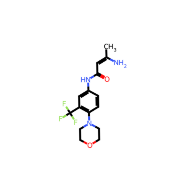 CC(N)=CC(=O)Nc1ccc(N2CCOCC2)c(C(F)(F)F)c1